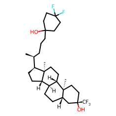 C[C@@H](CCCC1(O)CCC(F)(F)CC1)[C@@H]1CC[C@H]2[C@@H]3CC[C@H]4C[C@](O)(C(F)(F)F)CC[C@]4(C)[C@H]3CC[C@@]21C